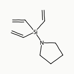 C=C[Si](C=C)(C=C)N1CCCC1